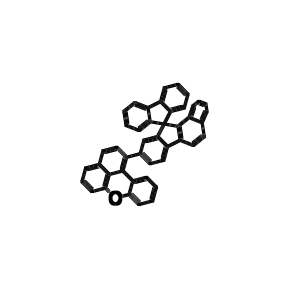 c1ccc2c(c1)Oc1cccc3ccc(-c4ccc5c(c4)C4(c6ccccc6-c6ccccc64)c4c-5ccc5ccccc45)c-2c13